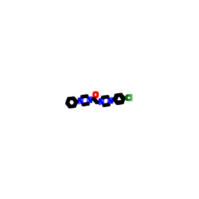 O=C(CN1CCN(c2ccc(Cl)cc2)CC1)N1CCN(C2CCCCC2)CC1